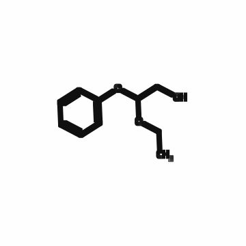 CCOC(CO)Oc1ccccc1